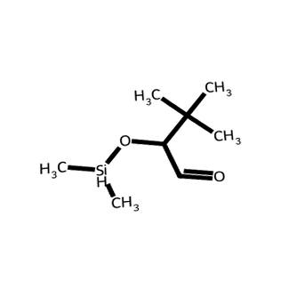 C[SiH](C)OC(C=O)C(C)(C)C